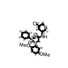 COc1ccc(OC)c(N(CC(=O)Nc2cncc(Cl)c2)S(=O)(=O)c2ccccc2)c1